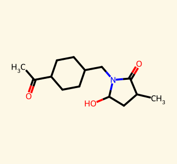 CC(=O)C1CCC(CN2C(=O)C(C)CC2O)CC1